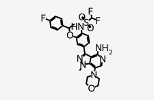 CC(Oc1cc(-c2nn(C)c3c(N4CCOCC4)cnc(N)c23)ccc1NS(=O)(=O)C(F)F)c1ccc(F)cc1